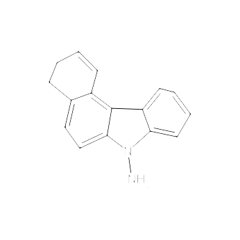 Nn1c2ccccc2c2c3c(ccc21)CCC=C3